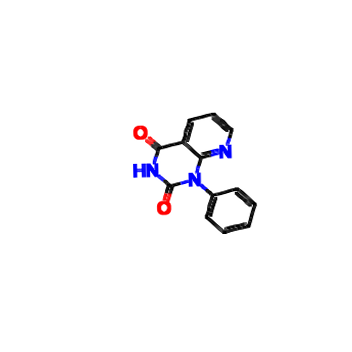 O=c1[nH]c(=O)n(-c2ccccc2)c2ncccc12